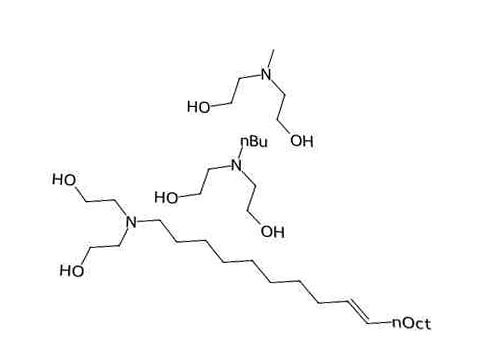 CCCCCCCCC=CCCCCCCCCN(CCO)CCO.CCCCN(CCO)CCO.CN(CCO)CCO